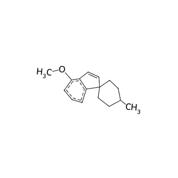 COc1cccc2c1C=CC21CCC(C)CC1